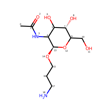 CC(=O)NC1C(O)[C@H](O)C(CO)O[C@H]1OCCCN